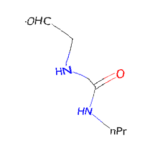 CCCNC(=O)NC[C]=O